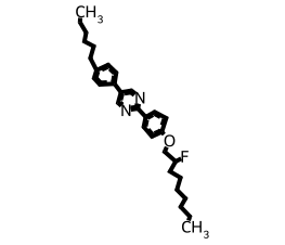 CCCCCCCC(F)COc1ccc(-c2ncc(-c3ccc(CCCCCC)cc3)cn2)cc1